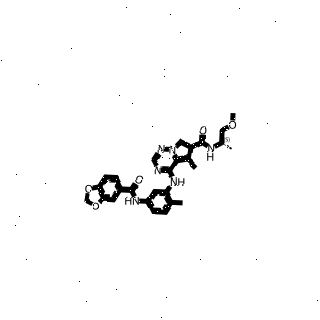 COC[C@H](C)NC(=O)C1CN2N=CN=C(Nc3cc(NC(=O)c4ccc5c(c4)OCO5)ccc3C)C2=C1C